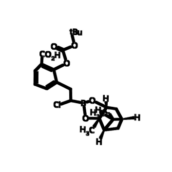 CC(C)(C)OC(=O)Oc1c(CC(Cl)B2O[C@@H]3C[C@@H]4C[C@@H](C4(C)C)[C@]3(C)O2)cccc1C(=O)O